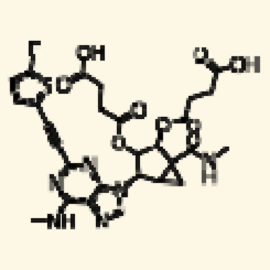 CNC(=O)C12CC1C(n1cnc3c(NC)nc(C#Cc4ccc(F)s4)nc31)C(OC(=O)CCC(=O)O)C2OC(=O)CCC(=O)O